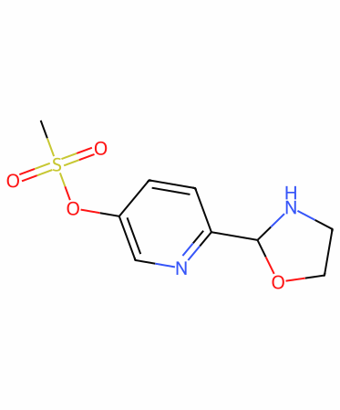 CS(=O)(=O)Oc1ccc(C2NCCO2)nc1